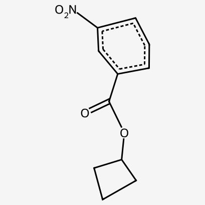 O=C(OC1CCC1)c1cccc([N+](=O)[O-])c1